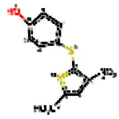 O=C(O)c1cc([N+](=O)[O-])c(Sc2ccc(O)cc2)s1